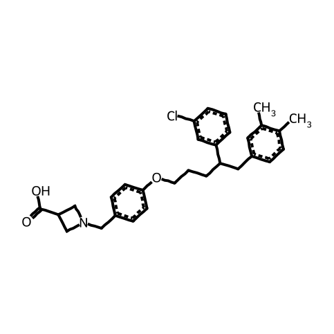 Cc1ccc(CC(CCCOc2ccc(CN3CC(C(=O)O)C3)cc2)c2cccc(Cl)c2)cc1C